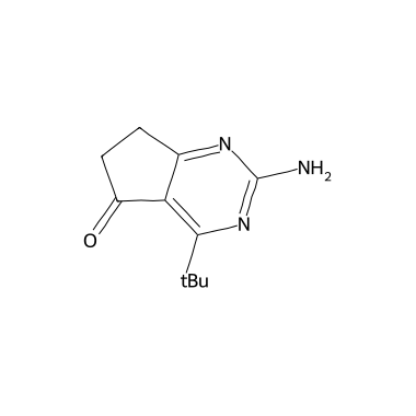 CC(C)(C)c1nc(N)nc2c1C(=O)CC2